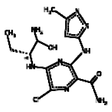 CC[C@@H](Nc1nc(Nc2cc(C)ns2)c(C(N)=O)nc1Cl)C(N)O